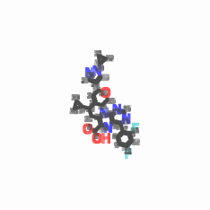 O=C(O)c1nc2c(-c3ccc(F)cc3F)ncnc2nc1CC(C1=C[C@H](c2cnn(C3CC3)c2)OCC1)C1CC1